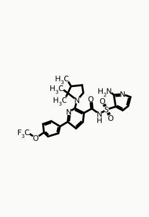 CC1CCN(c2nc(-c3ccc(OC(F)(F)F)cc3)ccc2C(=O)NS(=O)(=O)c2cccnc2N)C1(C)C